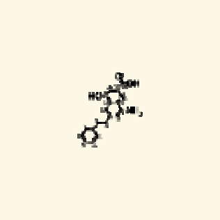 Nc1cc(CCc2ccccc2)cc2c(O)cc(C(=O)O)nc12